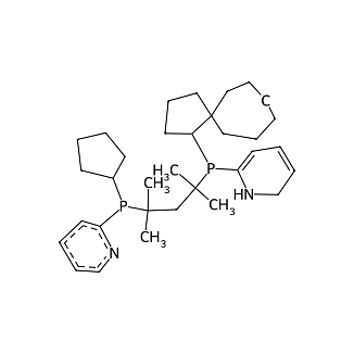 CC(C)(CC(C)(C)P(c1ccccn1)C1CCCC1)P(C1=CC=CCN1)C1CCCC12CCCCCC2